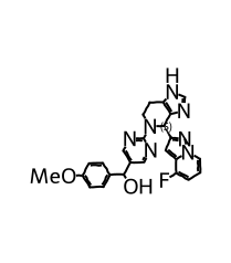 COc1ccc(C(O)c2cnc(N3CCc4[nH]cnc4[C@H]3c3cc4c(F)cccn4n3)nc2)cc1